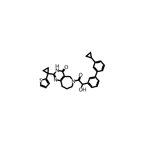 O=C(C(O)c1cccc(-c2cccc(C3CC3)c2)c1)N1CCCc2nc(C3(c4cccs4)CC3)[nH]c(=O)c2C1